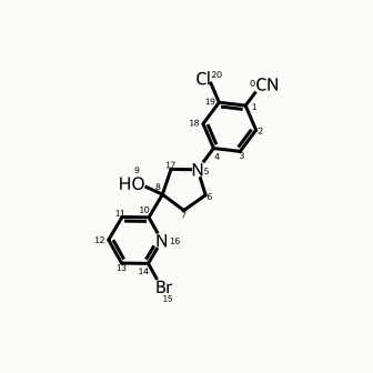 N#Cc1ccc(N2CCC(O)(c3cccc(Br)n3)C2)cc1Cl